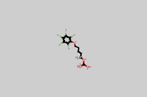 OC(O)O[SiH2]CCCCOc1c(F)c(F)c(F)c(F)c1F